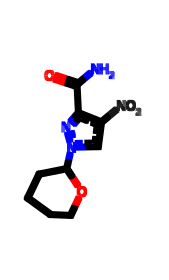 NC(=O)c1nn(C2CCCCO2)cc1[N+](=O)[O-]